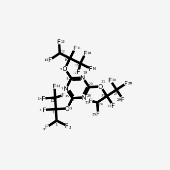 FC(F)C(F)(Oc1nc(OC(F)(C(F)F)C(F)(F)F)nc(OC(F)(C(F)F)C(F)(F)F)n1)C(F)(F)F